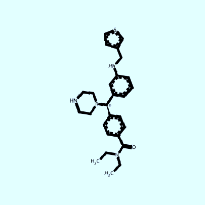 CCN(CC)C(=O)c1ccc([C@H](c2cccc(NCc3ccsc3)c2)N2CCNCC2)cc1